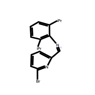 CC(C)c1cccc(C(C)C)c1/N=C\c1cccc(Br)n1